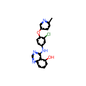 Cc1ccc(Oc2ccc(Nc3ncnc4cccc(O)c34)cc2Cl)cn1